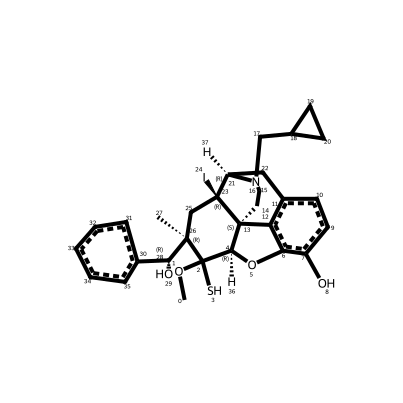 COC1(S)[C@@H]2Oc3c(O)ccc4c3[C@@]23CCN(CC2CC2)[C@H](C4)[C@@]3(I)C[C@]1(C)[C@H](O)c1ccccc1